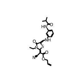 C=CCOC(=O)C(C#N)=c1sc(=CNc2cccc(NC(=O)C(C)C)c2)c(=O)n1CC